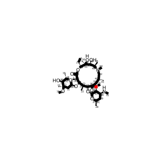 CC[C@H]1OC(=O)[C@H](C)[C@@H](O[C@H]2C[C@@](C)(OC)[C@@H](O)[C@H](C)O2)[C@H](C)[C@@H](O[C@@H]2O[C@H](C)C[C@H](NC)[C@H]2OC)[C@](C)(O)C[C@@H](C)CN(C)[C@H](C)[C@@H](O)[C@]1(C)O